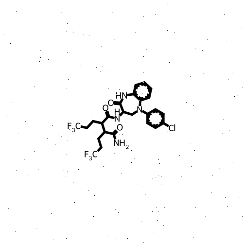 NC(=O)C(CCC(F)(F)F)C(CCC(F)(F)F)C(=O)NC1CN(c2ccc(Cl)cc2)c2ccccc2NC1=O